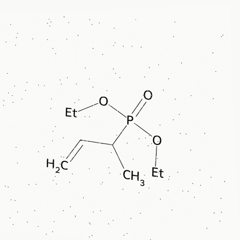 C=CC(C)P(=O)(OCC)OCC